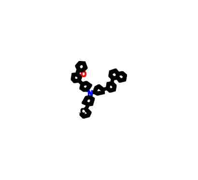 c1ccc(-c2ccc(N(c3ccc(-c4cccc(-c5cccc6ccccc56)c4)cc3)c3ccc(-c4cccc5c4oc4ccccc45)cc3)cc2)cc1